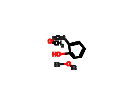 C=O.CCCCCCCCc1ccccc1O.CCOCC